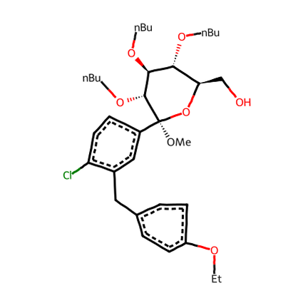 CCCCO[C@H]1[C@H](OCCCC)[C@@H](CO)O[C@@](OC)(c2ccc(Cl)c(Cc3ccc(OCC)cc3)c2)[C@@H]1OCCCC